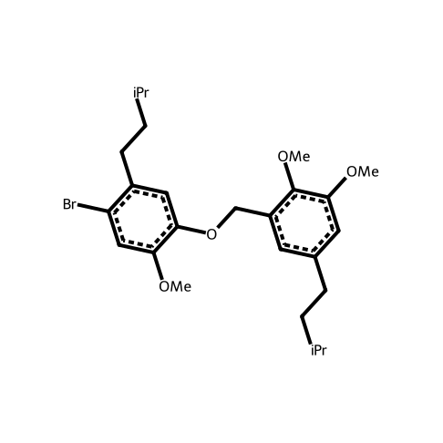 COc1cc(Br)c(CCC(C)C)cc1OCc1cc(CCC(C)C)cc(OC)c1OC